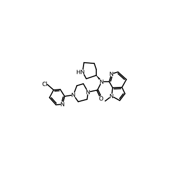 Cn1ccc2ccnc(N(C(=O)N3CCN(c4cc(Cl)ccn4)CC3)[C@@H]3CCCNC3)c21